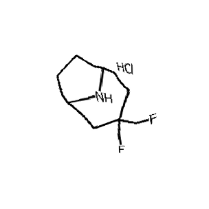 Cl.FC1(F)CC2CCC(C1)N2